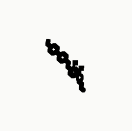 CCCCOc1ccc(CCC2CCC(C3CCC(CC)CC3)CC2)c(F)c1F